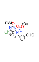 CCCCOc1nc(Cl)c([N+](=O)[O-])c(N(Cc2cccc(C=O)c2)N(C)C(=O)OC(C)(C)C)n1